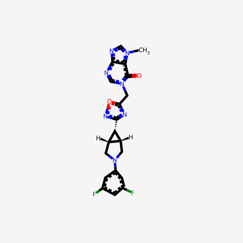 Cn1cnc2ncn(Cc3nc([C@@H]4[C@@H]5CN(c6cc(F)cc(F)c6)C[C@@H]54)no3)c(=O)c21